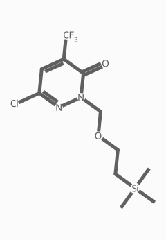 C[Si](C)(C)CCOCn1nc(Cl)cc(C(F)(F)F)c1=O